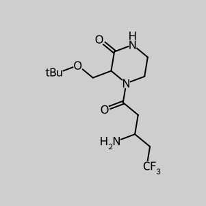 CC(C)(C)OCC1C(=O)NCCN1C(=O)CC(N)CC(F)(F)F